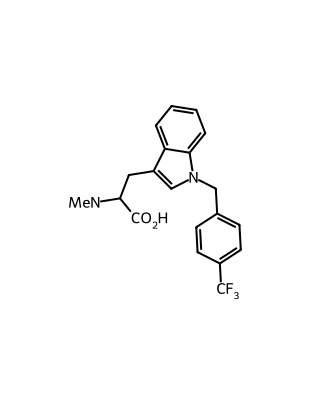 CNC(Cc1cn(Cc2ccc(C(F)(F)F)cc2)c2ccccc12)C(=O)O